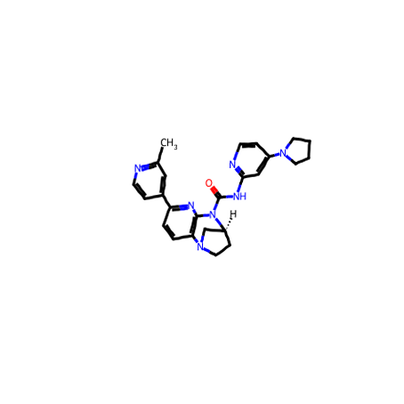 Cc1cc(-c2ccc3c(n2)N(C(=O)Nc2cc(N4CCCC4)ccn2)[C@H]2CCN3C2)ccn1